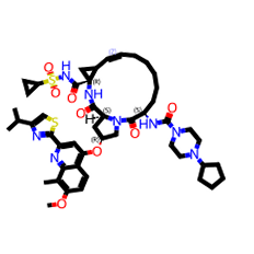 COc1ccc2c(O[C@@H]3C[C@H]4C(=O)N[C@]5(C(=O)NS(=O)(=O)C6CC6)CC5/C=C\CCCCC[C@H](NC(=O)N5CCN(C6CCCC6)CC5)C(=O)N4C3)cc(-c3nc(C(C)C)cs3)nc2c1C